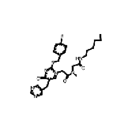 CCCCCCNC(=O)CN(C)C(=O)Cn1cc(Cc2cncnc2)c(=O)nc1SCc1ccc(F)cc1